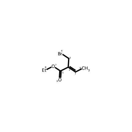 C/C=C(\CBr)C(=O)OCC